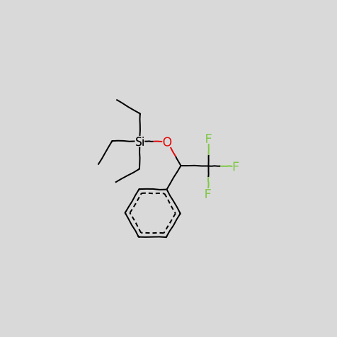 CC[Si](CC)(CC)OC(c1ccccc1)C(F)(F)F